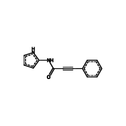 O=C(C#Cc1ccccc1)Nc1ccc[nH]1